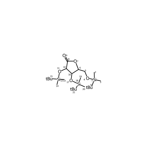 CC(C)(C)[Si](C)(C)OCC1OC(=O)C(O[Si](C)(C)C(C)(C)C)C1O[Si](C)(C)C(C)(C)C